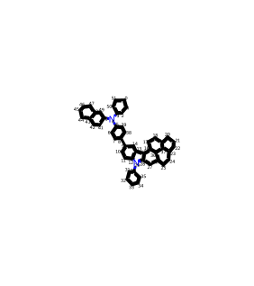 c1ccc(N(c2ccc(-c3ccc4c(c3)c3c5ccc6cccc7ccc(cc3n4-c3ccccc3)c5c76)cc2)c2ccc3ccccc3c2)cc1